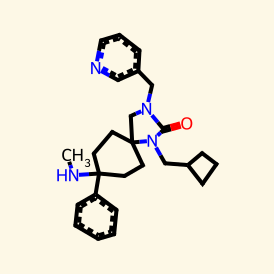 CNC1(c2ccccc2)CCC2(CC1)CN(Cc1cccnc1)C(=O)N2CC1CCC1